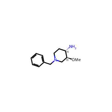 CO[C@H]1CN(Cc2ccccc2)CC[C@@H]1N